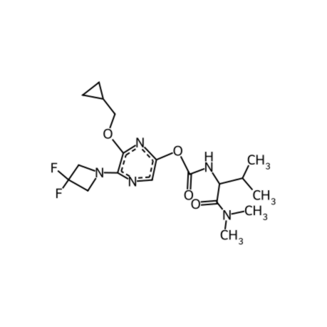 CC(C)C(NC(=O)Oc1cnc(N2CC(F)(F)C2)c(OCC2CC2)n1)C(=O)N(C)C